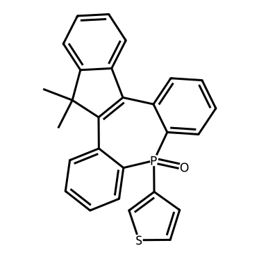 CC1(C)C2=C(c3ccccc31)c1ccccc1P(=O)(c1ccsc1)c1ccccc12